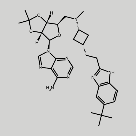 CN(C[C@H]1O[C@@H](n2cnc3c(N)ncnc32)[C@@H]2OC(C)(C)O[C@@H]21)[C@H]1C[C@@H](CCc2nc3cc(C(C)(C)C)ccc3[nH]2)C1